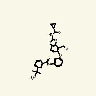 CC(C)(N)c1cccc(C(=O)Nc2cccc(Oc3ccc4nc(NC(=O)C5CC5)sc4c3CO)c2)c1